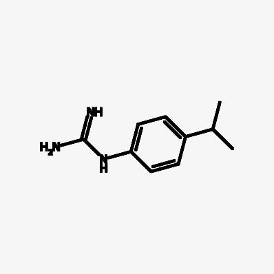 CC(C)c1ccc(NC(=N)N)cc1